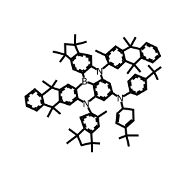 Cc1cc2c(cc1N1c3cc4c(cc3B3c5cc6c(cc5N(c5cc7c(cc5C)C(C)(C)c5ccccc5C7(C)C)c5cc(N(c7ccc(C(C)(C)C)cc7)C7C=CC(C(C)(C)C)=CC7)cc1c53)C(C)(C)CC6(C)C)C(C)(C)c1ccccc1C4(C)C)C(C)(C)CC2(C)C